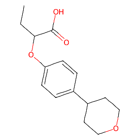 CCC(Oc1ccc(C2CCOCC2)cc1)C(=O)O